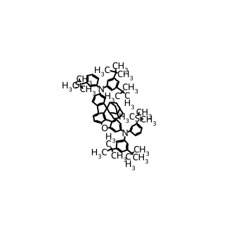 CC(C)(C)c1cc(N(c2cccc([Si](C)(C)C)c2)c2ccc3c(c2)C2(c4c-3ccc3oc5cc(N(c6cc(C(C)(C)C)cc(C(C)(C)C)c6)c6cccc([Si](C)(C)C)c6)ccc5c43)C3CC4CC(C3)CC2C4)cc(C(C)(C)C)c1